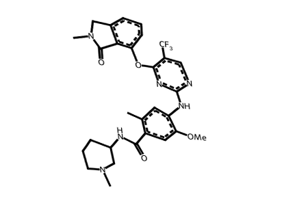 COc1cc(C(=O)NC2CCCN(C)C2)c(C)cc1Nc1ncc(C(F)(F)F)c(Oc2cccc3c2C(=O)N(C)C3)n1